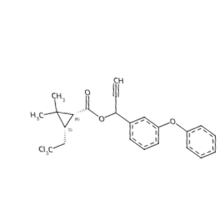 C#CC(OC(=O)[C@@H]1[C@H](CC(Cl)(Cl)Cl)C1(C)C)c1cccc(Oc2ccccc2)c1